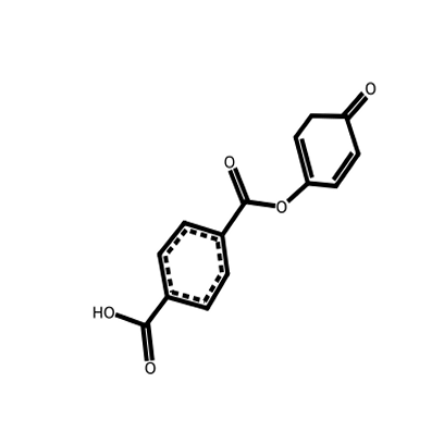 O=C1C=CC(OC(=O)c2ccc(C(=O)O)cc2)=CC1